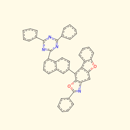 c1ccc(-c2nc(-c3ccccc3)nc(-c3cccc4cc(-c5c6oc(-c7ccccc7)nc6cc6oc7ccccc7c56)ccc34)n2)cc1